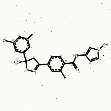 Cc1cc(C2=NOC(c3cc(Cl)cc(Cl)c3)(C(F)(F)F)C2)ccc1C(=O)NC1=C[SH](O)C=C1